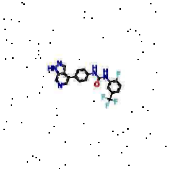 O=C(Nc1ccc(-c2cncc3[nH]ncc23)cc1)Nc1cc(C(F)(F)F)ccc1F